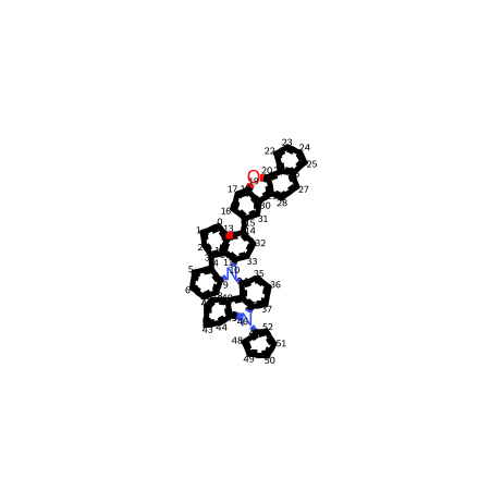 c1ccc(-c2ccccc2N(c2ccc(-c3ccc4oc5c6ccccc6ccc5c4c3)cc2)c2cccc3c2c2ccccc2n3-c2ccccc2)cc1